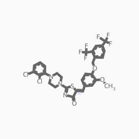 COc1cc(/C=C2\SC(N3CCN(c4cccc(Cl)c4Cl)CC3)=NC2=O)ccc1OCc1ccc(C(F)(F)F)cc1C(F)(F)F